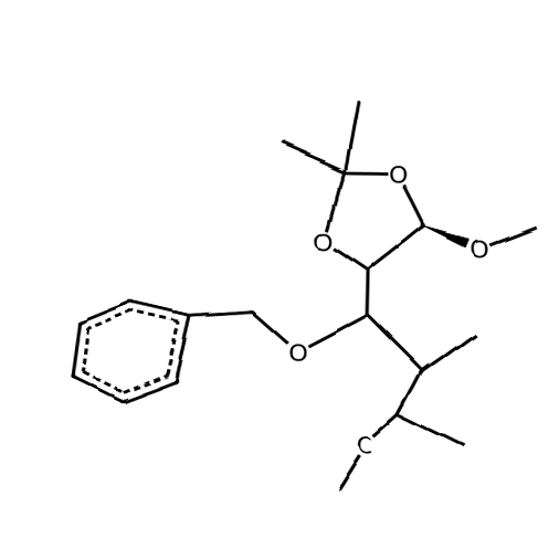 CCC(C)C(C)C(OCc1ccccc1)C1OC(C)(C)O[C@H]1OC